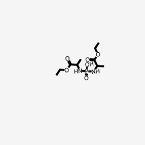 CCOC(=O)C(C)NP(=O)(O)NC(C)C(=O)OCC